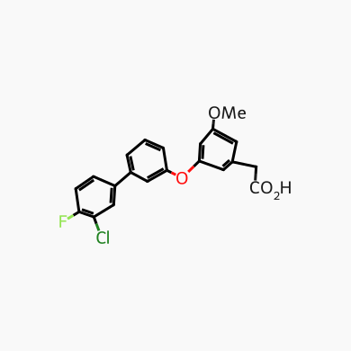 COc1cc(CC(=O)O)cc(Oc2cccc(-c3ccc(F)c(Cl)c3)c2)c1